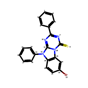 S=c1nc(-c2ccccc2)nc2n(-c3ccccc3)c3ccc(Br)cc3n12